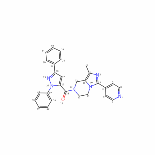 Cc1nc(-c2ccncc2)n2c1CN(C(=O)c1cc(-c3ccccc3)nn1-c1ccccc1)CC2